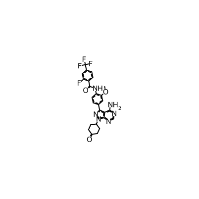 COc1cc(-c2nn(C3CCC(=O)CC3)c3ncnc(N)c23)ccc1NC(=O)c1ccc(C(F)(F)F)cc1F